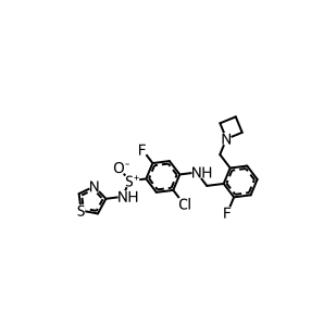 [O-][S+](Nc1cscn1)c1cc(Cl)c(NCc2c(F)cccc2CN2CCC2)cc1F